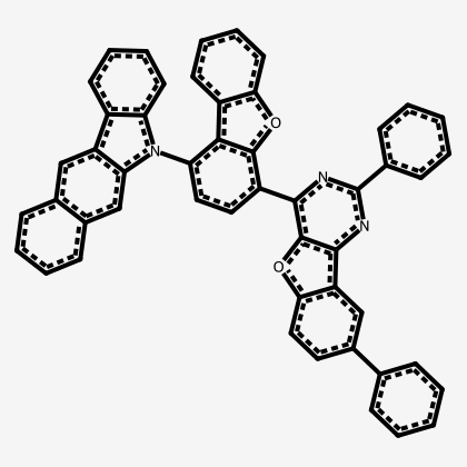 c1ccc(-c2ccc3oc4c(-c5ccc(-n6c7ccccc7c7cc8ccccc8cc76)c6c5oc5ccccc56)nc(-c5ccccc5)nc4c3c2)cc1